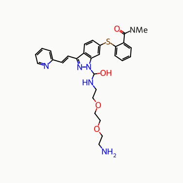 CNC(=O)c1ccccc1Sc1ccc2c(/C=C/c3ccccn3)nn(C(O)NCCOCCOCCN)c2c1